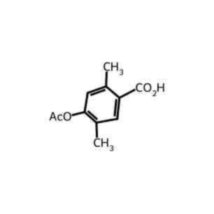 CC(=O)Oc1cc(C)c(C(=O)O)cc1C